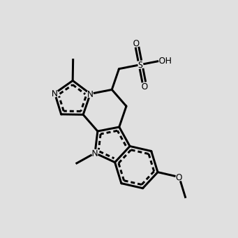 COc1ccc2c(c1)c1c(n2C)-c2cnc(C)n2C(CS(=O)(=O)O)C1